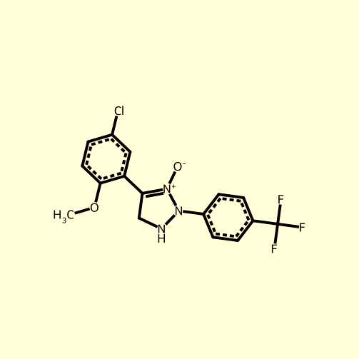 COc1ccc(Cl)cc1C1=[N+]([O-])N(c2ccc(C(F)(F)F)cc2)NC1